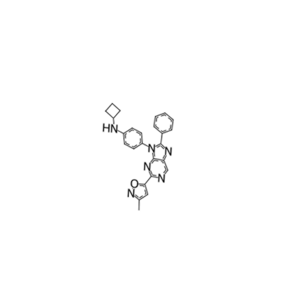 Cc1cc(-c2ncc3nc(-c4ccccc4)n(-c4ccc(NC5CCC5)cc4)c3n2)on1